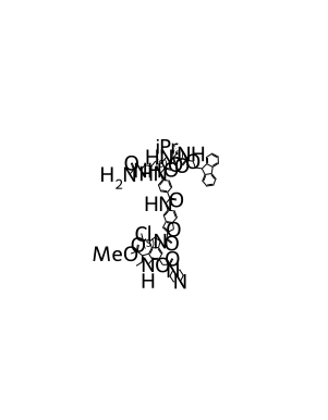 COC(=O)c1c(C)[nH]c2c(OC(=O)N3CCN(C)CC3)cc3c(c12)[C@H](CCl)CN3C(=O)c1cc2cc(NC(=O)c3ccc(NC(=O)[C@H](CCCNC(N)=O)NC(=O)[C@@H](NC(=O)OCC4c5ccccc5-c5ccccc54)C(C)C)cc3)ccc2o1